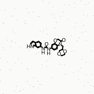 O=C(Nc1ccc2c(c1)OCC(=O)N2CC1COCCO1)Nc1ccc2cc[nH]c2c1